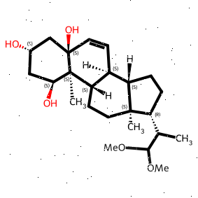 COC(OC)C(C)[C@H]1CC[C@H]2[C@@H]3C=C[C@@]4(O)C[C@@H](O)C[C@H](O)[C@]4(C)[C@H]3CC[C@]12C